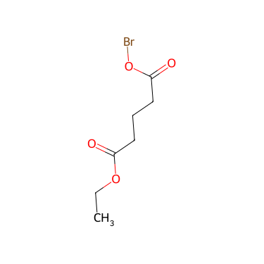 CCOC(=O)CCCC(=O)OBr